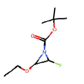 CCO[C@@H]1C(F)N1C(=O)OC(C)(C)C